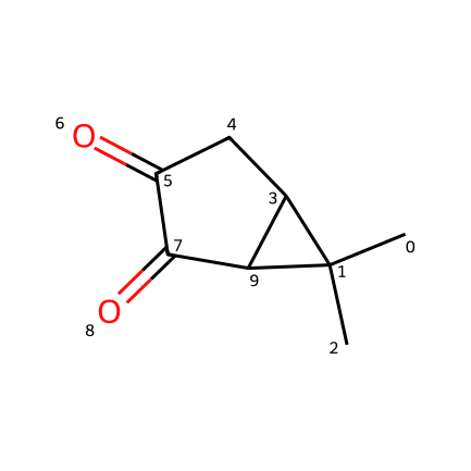 CC1(C)C2CC(=O)C(=O)C21